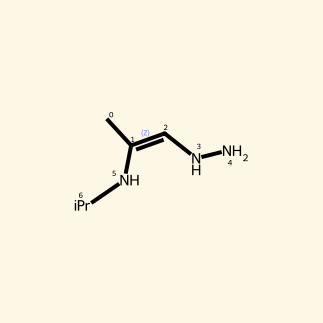 C/C(=C/NN)NC(C)C